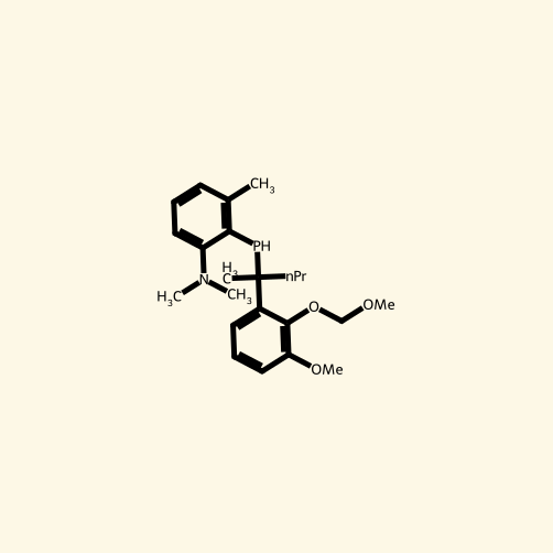 CCCC(C)(Pc1c(C)cccc1N(C)C)c1cccc(OC)c1OCOC